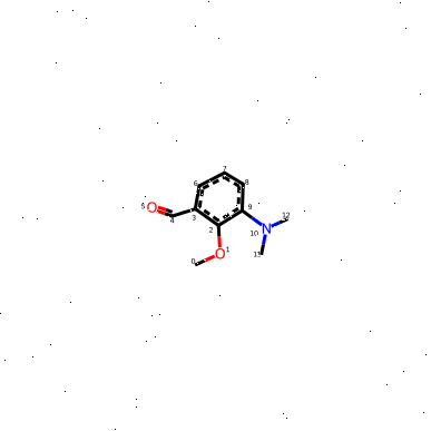 COc1c(C=O)cccc1N(C)C